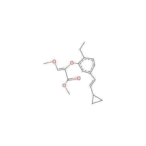 CCc1ccc(/C=C/C2CC2)cc1O/C(=C\OC)C(=O)OC